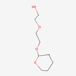 OCCOCCOC1CCCCO1